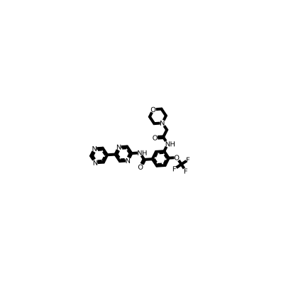 O=C(CN1CCOCC1)Nc1cc(C(=O)Nc2cnc(-c3cncnc3)cn2)ccc1OC(F)(F)F